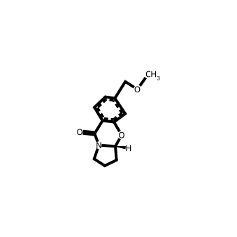 COCc1ccc2c(c1)O[C@@H]1CCCN1C2=O